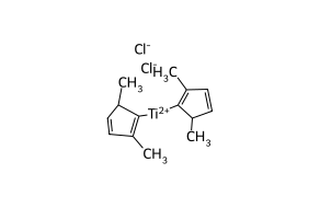 CC1=[C]([Ti+2][C]2=C(C)C=CC2C)C(C)C=C1.[Cl-].[Cl-]